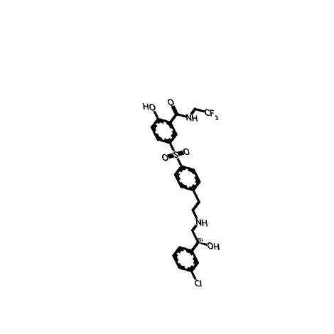 O=C(NCC(F)(F)F)c1cc(S(=O)(=O)c2ccc(CCNC[C@@H](O)c3cccc(Cl)c3)cc2)ccc1O